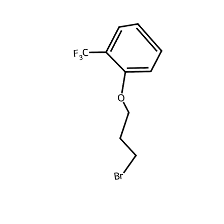 FC(F)(F)c1ccccc1OCCCBr